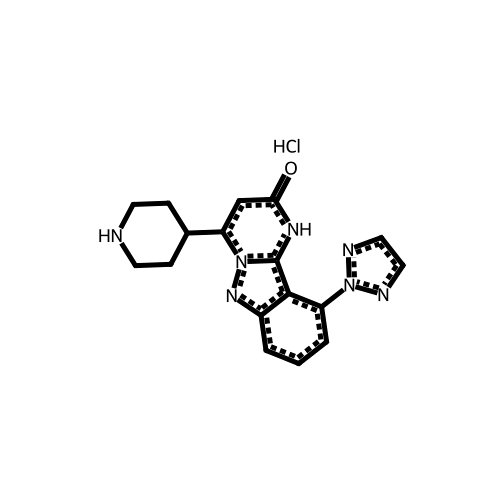 Cl.O=c1cc(C2CCNCC2)n2nc3cccc(-n4nccn4)c3c2[nH]1